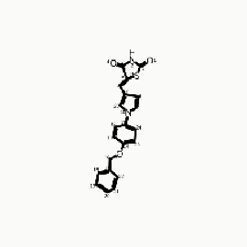 O=C1NC(=O)C(=Cc2ccn(-c3ccc(OCc4ccccc4)cc3)c2)S1